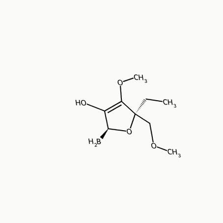 B[C@@H]1O[C@](CC)(COC)C(OC)=C1O